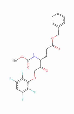 CC(C)(C)OC(=O)N[C@@H](CCC(=O)OCc1ccccc1)C(=O)COc1c(F)c(F)cc(F)c1F